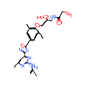 CCc1cc(-c2nc(-c3cc(C)nc(NC(C)C)n3)no2)cc(C)c1OCC(O)CNC(=O)CO